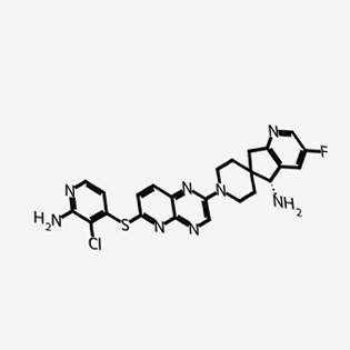 Nc1nccc(Sc2ccc3nc(N4CCC5(CC4)Cc4ncc(F)cc4[C@@H]5N)cnc3n2)c1Cl